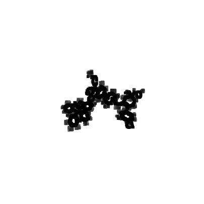 COCC1(C)CCC(c2ccc(Cl)cc2)=C(CN2CCN(c3ccc(C(=O)OC)c(Oc4cccc5c4cnn5C(c4ccccc4)(c4ccccc4)c4ccccc4)c3)CC2)C1